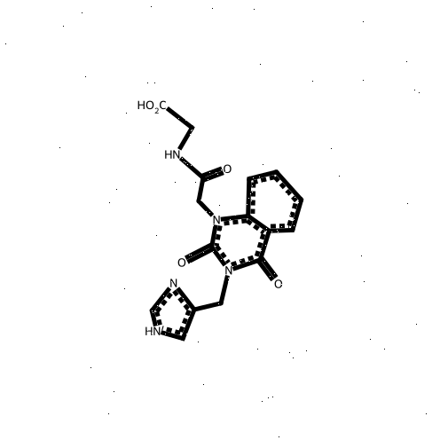 O=C(O)CNC(=O)Cn1c(=O)n(Cc2c[nH]cn2)c(=O)c2ccccc21